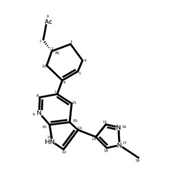 CC(=O)C[C@@H]1CCC=C(c2cnc3[nH]cc(-c4cnn(C)c4)c3c2)C1